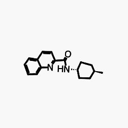 C[C@H]1CC[C@H](NC(=O)c2ccc3ccccc3n2)CC1